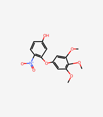 COc1cc(Oc2cc(O)ccc2[N+](=O)[O-])cc(OC)c1OC